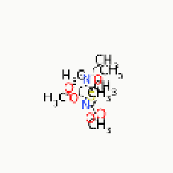 COC(=O)c1csc(C(CC(C(C)C)N(C)C(=O)CC(C)C)OC(C)=O)n1